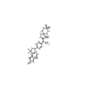 CC1(C)CC(c2ccc([C@H](N3CCC4(CCS(=O)(=O)CC4)C3=O)C(F)(F)F)cc2)c2cnc3cc(F)nn3c21